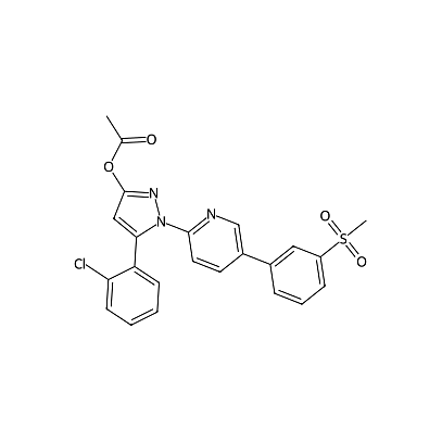 CC(=O)Oc1cc(-c2ccccc2Cl)n(-c2ccc(-c3cccc(S(C)(=O)=O)c3)cn2)n1